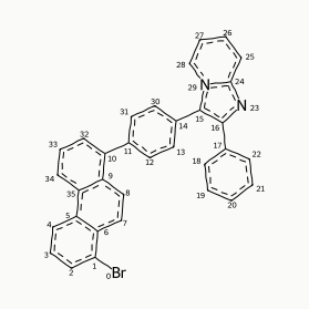 Brc1cccc2c1ccc1c(-c3ccc(-c4c(-c5ccccc5)nc5ccccn45)cc3)cccc12